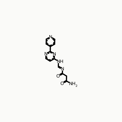 NC(=O)CC(=O)N=CNc1ccnc(-c2ccncc2)n1